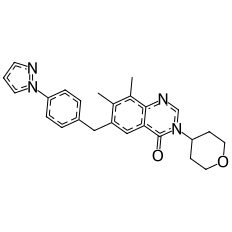 Cc1c(Cc2ccc(-n3cccn3)cc2)cc2c(=O)n(C3CCOCC3)cnc2c1C